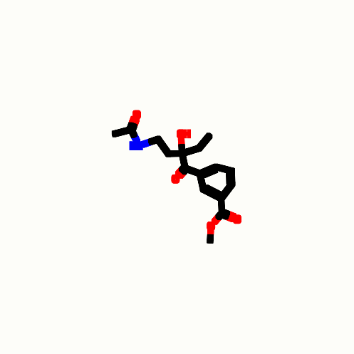 CCC(O)(CCNC(C)=O)C(=O)c1cccc(C(=O)OC)c1